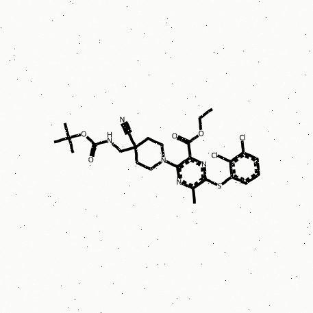 CCOC(=O)c1nc(Sc2cccc(Cl)c2Cl)c(C)nc1N1CCC(C#N)(CNC(=O)OC(C)(C)C)CC1